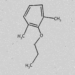 CC[CH]Oc1c(C)cccc1C